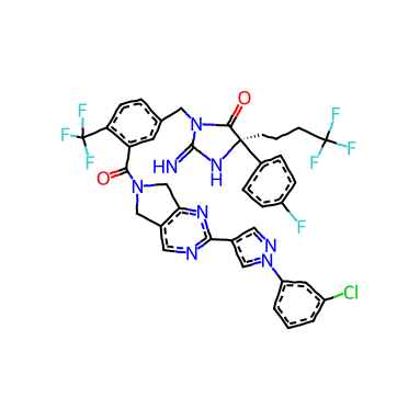 N=C1N[C@](CCCC(F)(F)F)(c2ccc(F)cc2)C(=O)N1Cc1ccc(C(F)(F)F)c(C(=O)N2Cc3cnc(-c4cnn(-c5cccc(Cl)c5)c4)nc3C2)c1